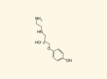 NCCNC[C@@H](O)COc1ccc(O)cc1